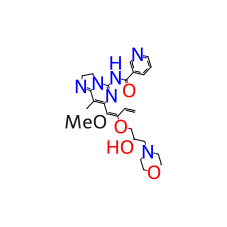 C=C/C(OC[C@H](O)CN1CCOCC1)=C(/OC)C1=C(C)C2=NCCN2C(NC(=O)c2cccnc2)=N1